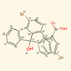 O=C(O)c1cc(Br)ccc1-c1ccc(Br)cc1C(O)(c1ccccc1)c1ccccc1